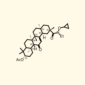 CCN(OC1CC1)C(=O)[C@@]1(C)CC[C@]2(C)CC[C@]3(C)C(=CC(=O)[C@@H]4[C@@]5(C)CC[C@H](OC(C)=O)C(C)(C)C5CC[C@]43C)[C@@H]2C1